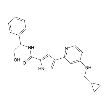 O=C(N[C@H](CO)c1ccccc1)c1cc(-c2cc(NCC3CC3)ncn2)c[nH]1